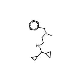 CN(CCNC(C1CC1)C1CC1)Cc1ccccc1